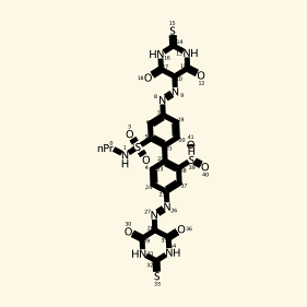 CCCNS(=O)(=O)c1cc(N=NC2C(=O)NC(=S)NC2=O)ccc1-c1ccc(N=NC2C(=O)NC(=S)NC2=O)cc1[SH](=O)=O